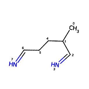 CC(C=N)CCC=N